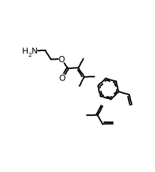 C=CC(=C)C.C=Cc1ccccc1.CC(C)=C(C)C(=O)OCCN